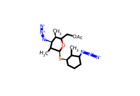 CC(=O)OCC1O[C@@H](S[C@@H]2CCCC(N=[N+]=[N-])C2C)C(C)[C@@H](N=[N+]=[N-])[C@H]1C